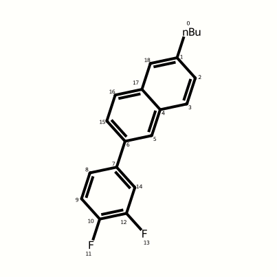 CCCCc1ccc2cc(-c3ccc(F)c(F)c3)ccc2c1